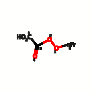 CCCOOC(=O)C(=O)O